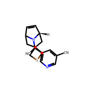 N#Cc1cncc(C2(C#N)CC3C=C[C@H](C2)N3C2CSC2)c1